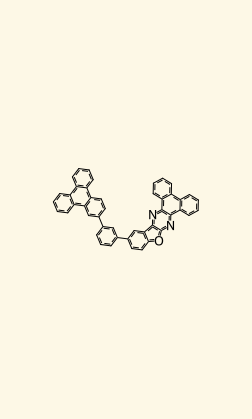 c1cc(-c2ccc3c4ccccc4c4ccccc4c3c2)cc(-c2ccc3oc4nc5c6ccccc6c6ccccc6c5nc4c3c2)c1